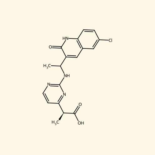 CC(Nc1nccc([C@H](C)C(=O)O)n1)c1cc2cc(Cl)ccc2[nH]c1=O